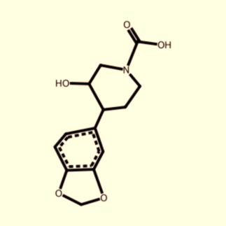 O=C(O)N1CCC(c2ccc3c(c2)OCO3)C(O)C1